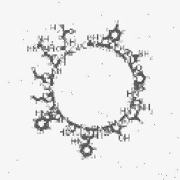 CCCC[C@H]1C(=O)N(C)[C@@H](CCCC)C(=O)N[C@@H](CCCNC(=N)N)C(=O)N[C@H](C(=O)NCC(N)=O)CSCC(=O)N[C@@H](Cc2cccc(C)c2)C(=O)N(C)[C@@H](C)C(=O)N[C@@H](CC(N)=O)C(=O)N2CCC[C@H]2C(=O)N[C@@H](CN)C(=O)N[C@@H](CC(C)C)C(=O)N2C[C@H](O)C[C@H]2C(=O)N[C@@H](Cc2c[nH]c3ccccc23)C(=O)N[C@@H](CO)C(=O)N[C@@H](Cc2c[nH]c3ccccc23)C(=O)N1C